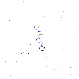 Cc1nc(N2CCOC2=O)sc1-c1ccnc(Nc2ccc(O)cc2)n1